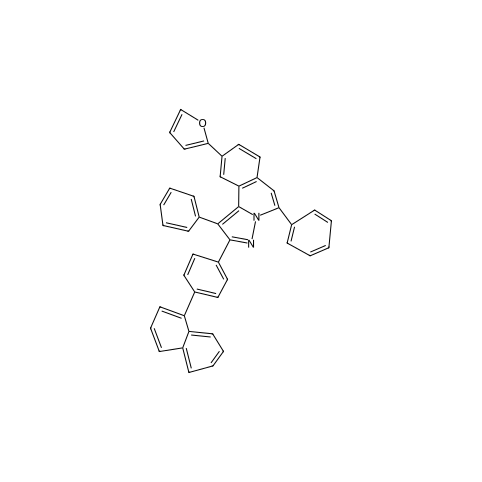 c1ccc(-c2c(-c3ccc(-c4cccc5ccccc45)cc3)nn3c(-c4ccccc4)cc4ccc(-c5ccco5)cc4c23)cc1